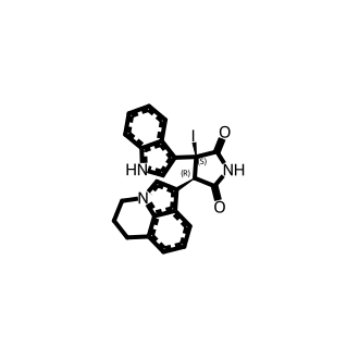 O=C1NC(=O)[C@@](I)(c2c[nH]c3ccccc23)[C@@H]1c1cn2c3c(cccc13)CCC2